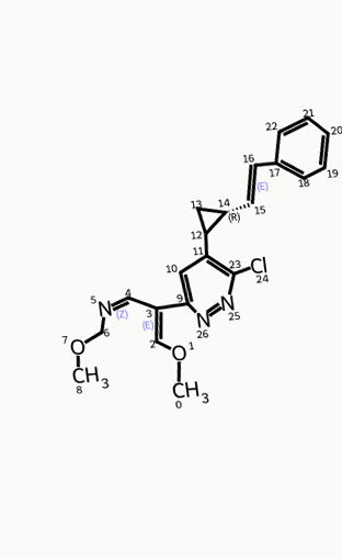 CO/C=C(/C=N\COC)c1cc(C2C[C@@H]2/C=C/c2ccccc2)c(Cl)nn1